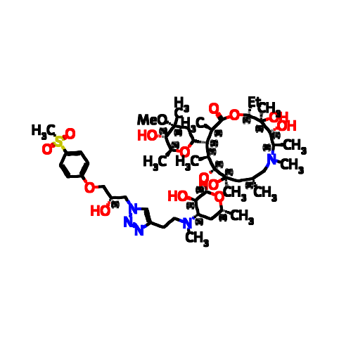 CC[C@H]1OC(=O)[C@H](C)[C@@H](C2C[C@@](C)(OC)[C@@H](O)[C@H](C)O2)[C@H](C)[C@@H](O[C@@H]2O[C@H](C)C[C@H](N(C)CCc3cn(C[C@H](O)COc4ccc(S(C)(=O)=O)cc4)nn3)[C@H]2O)[C@](C)(O)C[C@@H](C)CN(C)[C@H](C)[C@@H](O)[C@]1(C)O